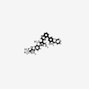 Cc1cc(-c2cccc3ncc(-c4c(C)nn(C5CCN(OC(=O)C(C)(C)C)CC5)c4C)nc23)ccc1CN1CCOCC1